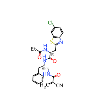 C=C(C#N)C(=O)NC[C@H](Cc1ccccc1)NC(=O)[C@H](Cc1nc2ccc(Cl)cc2s1)NC(=O)CC